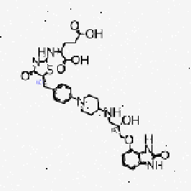 O=C(O)CC[C@H](NC1=NC(=O)/C(=C/c2ccc(N3CCC(NC[C@H](O)COc4cccc5[nH]c(=O)[nH]c45)CC3)cc2)S1)C(=O)O